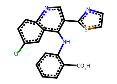 O=C(O)c1ccccc1Nc1c(-c2nccs2)cnc2ccc(Cl)cc12